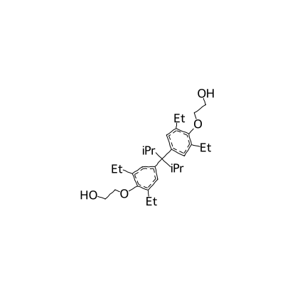 CCc1cc(C(c2cc(CC)c(OCCO)c(CC)c2)(C(C)C)C(C)C)cc(CC)c1OCCO